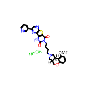 COc1cccc2c1[C@@H]1CN(CCCCn3c(=O)[nH]c4c(sc5ncc(-c6cccnc6)nc54)c3=O)C[C@H]1CO2.Cl.Cl